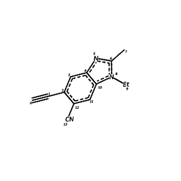 C#Cc1cc2nc(C)n(CC)c2cc1C#N